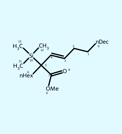 CCCCCCCCCCCCC=CC(CCCCCC)(C(=O)OC)[Si](C)(C)C